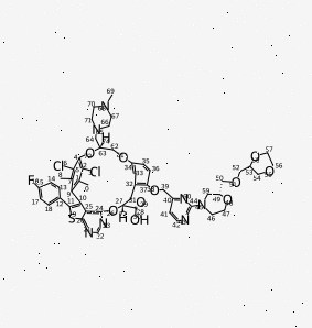 Cc1c(Cl)c2c(Cl)c(C)c1-c1c(-c3ccc(F)cc3)sc3ncnc(c13)O[C@@H](C(=O)O)Cc1cc(ccc1OCc1ccnc(N3CCO[C@@H](COCC4COCCO4)C3)n1)OC[C@@H](CN1CCN(C)CC1)O2